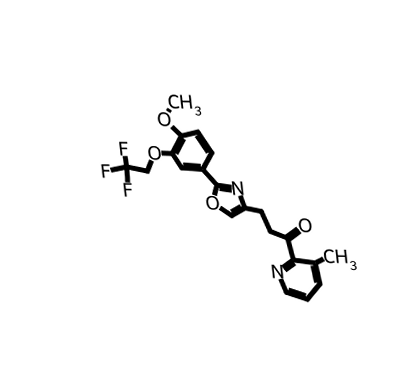 COc1ccc(-c2nc(CCC(=O)c3ncccc3C)co2)cc1OCC(F)(F)F